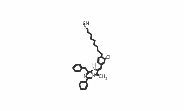 C=C1/C(=C/C2=CC(Cl)C(CCCCCCCCCSC#N)C=C2)NC2C(Cc3ccccc3)=NC(C3=CCCC=C3)=CN12